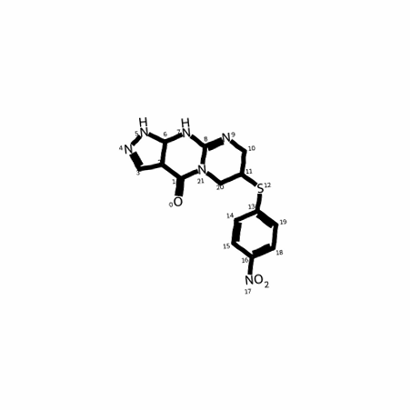 O=C1C2C=NNC2NC2=NCC(Sc3ccc([N+](=O)[O-])cc3)CN12